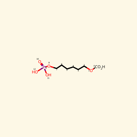 O=C(O)OCCCCCCOP(=O)(O)O